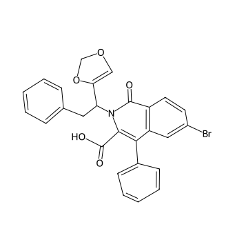 O=C(O)c1c(-c2ccccc2)c2cc(Br)ccc2c(=O)n1C(Cc1ccccc1)C1=COCO1